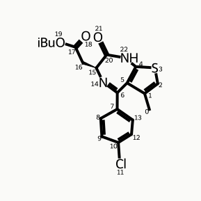 Cc1csc2c1C(c1ccc(Cl)cc1)=N[C@@H](CC(=O)OCC(C)C)C(=O)N2